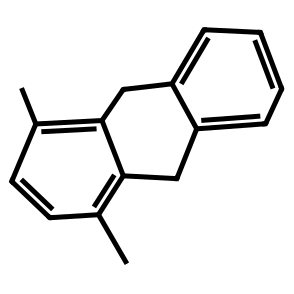 Cc1ccc(C)c2c1Cc1ccccc1C2